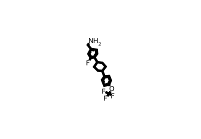 NCc1ccc(C2CCC(c3ccc(OC(F)(F)F)cc3)CC2)c(F)c1